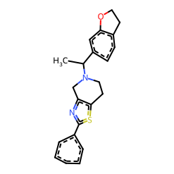 CC(c1ccc2c(c1)OCC2)N1CCc2sc(-c3ccccc3)nc2C1